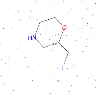 ICC1CNCCO1